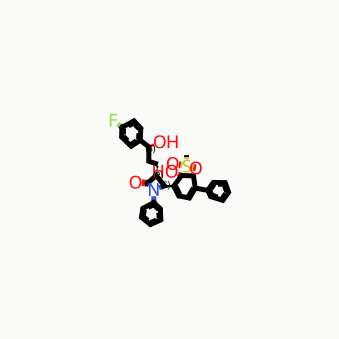 CS(=O)(=O)C1(O)CC(c2ccccc2)=CC=C1[C@@H]1[C@@H](CC[C@H](O)c2ccc(F)cc2)C(=O)N1c1ccccc1